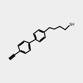 C#Cc1ccc(-c2ccc(CCCCS)cc2)cc1